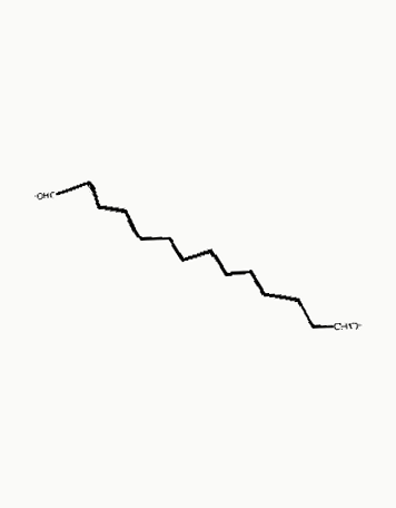 O=[C]CCCCCCCCCCCC[C]=O